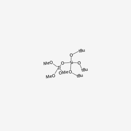 C[O][Zr]([O]C)([O]C)[O][Si](OC(C)(C)C)(OC(C)(C)C)OC(C)(C)C